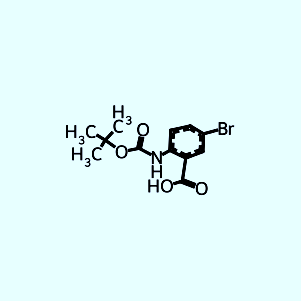 CC(C)(C)OC(=O)Nc1ccc(Br)cc1C(=O)O